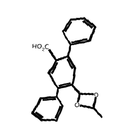 CC1OC(c2cc(-c3ccccc3)c(C(=O)O)cc2-c2ccccc2)O1